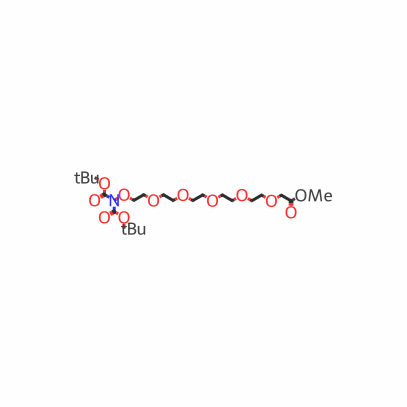 COC(=O)COCCOCCOCCOCCOCCON(C(=O)OC(C)(C)C)C(=O)OC(C)(C)C